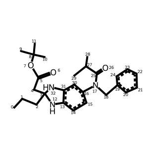 CCCC1(CC(=O)OC(C)(C)C)Nc2ccc(N(Cc3ccccc3)C(=O)C(C)C)cc2N1